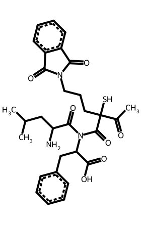 CC(=O)C(S)(CCCN1C(=O)c2ccccc2C1=O)C(=O)N(C(=O)C(N)CC(C)C)C(Cc1ccccc1)C(=O)O